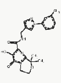 Cc1cccc(-n2cc(CNC(=O)c3nc4n(c(=O)c3O)CCOC4(C)C)cn2)c1